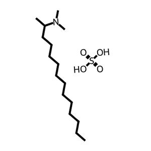 CCCCCCCCCCCCC(C)N(C)C.O=S(=O)(O)O